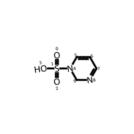 O=S(=O)(O)N1C=CC=NC1